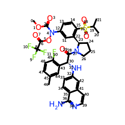 COC(=O)N(OC(=O)C(F)(F)F)c1ccc(S(=O)(=O)C(C)C)c([C@H]2CCCN2C(=O)[C@H](Nc2ccc3c(N)nccc3c2)c2cc(C)ccc2F)c1